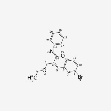 CCOCc1cc2cc(Br)ccc2o/c1=N\c1ccccc1